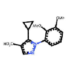 COc1cccc(-n2ncc(C(=O)O)c2C2CC2)c1OC